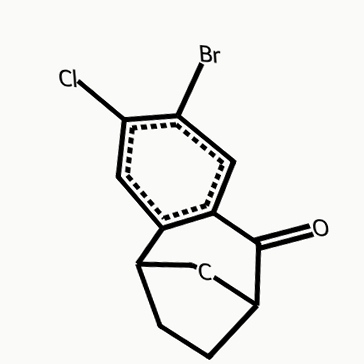 O=C1c2cc(Br)c(Cl)cc2C2CCC1CC2